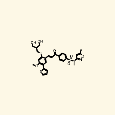 COc1cc(OCC(CO)CO)c(C=CC(=O)c2ccc(S(=O)(=O)Nc3cc(C)on3)cc2)cc1-c1cccs1